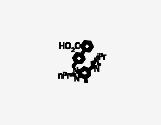 CCCc1nc2c(C)cc(-c3cn(C(C)C)cn3)cc2n1Cc1ccc(-c2ccccc2C(=O)O)cc1